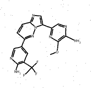 COc1nc(-c2cnc3ccc(-c4cnc(N)c(C(F)(F)F)c4)nn23)cnc1N